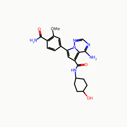 COc1cc(-c2cc(C(=O)NC3CCC(O)CC3)c3c(N)ncnn23)ccc1C(N)=O